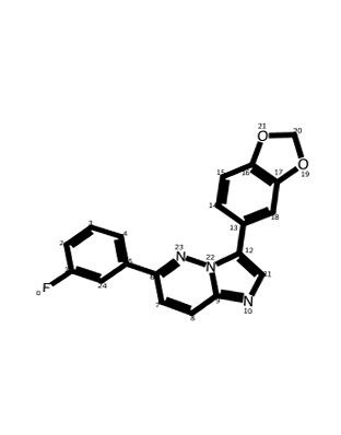 Fc1cccc(-c2ccc3ncc(-c4ccc5c(c4)OCO5)n3n2)c1